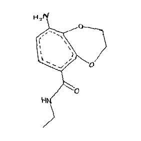 CCNC(=O)c1ccc(N)c2c1OCCO2